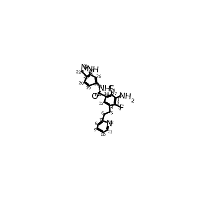 Nc1c(F)c(CCc2ccccn2)cc(C(=O)Nc2ccc3cn[nH]c3c2)c1F